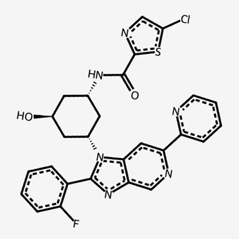 O=C(N[C@H]1C[C@H](O)C[C@@H](n2c(-c3ccccc3F)nc3cnc(-c4ccccn4)cc32)C1)c1ncc(Cl)s1